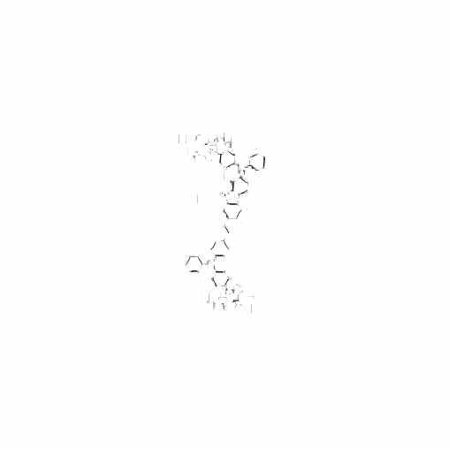 CC1(C)c2cc(/C=C/c3ccc(N(c4ccccc4)c4ccc([Si](C)(C)C(C)(C)C)cc4)cc3)ccc2-c2ccc(N(c3ccccc3)c3ccc([Si](C)(C)C(C)(C)C)cc3)cc21